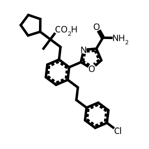 CC(Cc1cccc(CCc2ccc(Cl)cc2)c1-c1nc(C(N)=O)co1)(C(=O)O)C1CCCC1